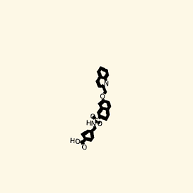 O=C(O)c1ccc(CNS(=O)(=O)c2ccc3ccc(OCc4ccc5ccccc5n4)cc3c2)cc1